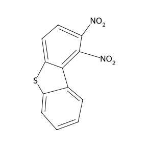 O=[N+]([O-])c1ccc2sc3ccccc3c2c1[N+](=O)[O-]